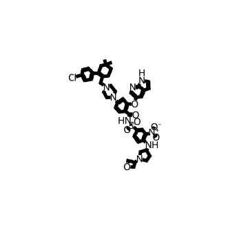 CC1(C)CCC(CN2CCN(c3ccc(C(=O)NS(=O)(=O)c4ccc(NC5CCN(C6COC6)C5)c([N+](=O)[O-])c4)c(Oc4cnc5[nH]ccc5c4)c3)CC2)=C(c2ccc(Cl)cc2)C1